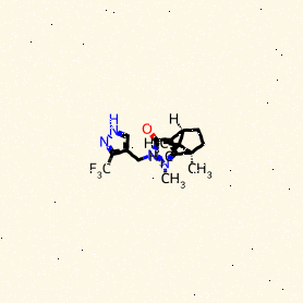 Cn1c2c(c(=O)n1Cc1c[nH]nc1C(F)(F)F)[C@H]1CC[C@]2(C)C1(C)C